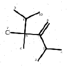 C=C(C(C)C)C(C)(Cl)C(C)C